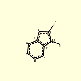 Cn1c(I)cc2ccccc21